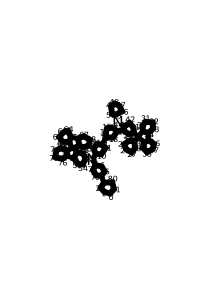 c1ccc(-c2ccc(N(c3ccc(-c4ccc5c(c4)c4cc(C6(c7ccccc7)c7ccccc7-c7ccccc76)ccc4n5-c4ccccc4)cc3)c3ccc4c(c3)C3(c5ccccc5-c5ccccc53)c3ccccc3-4)cc2)cc1